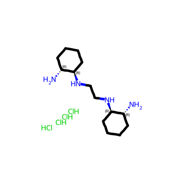 Cl.Cl.Cl.Cl.N[C@@H]1CCCC[C@H]1NCCN[C@@H]1CCCC[C@H]1N